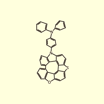 c1ccc(N(c2ccccc2)c2ccc(-n3c4cccc5c6cccc7oc8ccc9sc%10ccc3c(c%10c9c8c76)c54)cc2)cc1